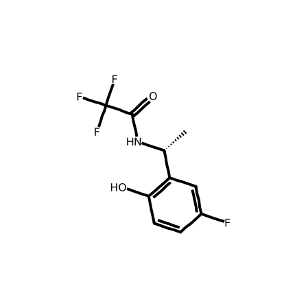 C[C@@H](NC(=O)C(F)(F)F)c1cc(F)ccc1O